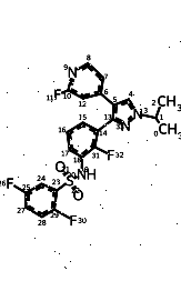 CC(C)n1cc(-c2ccnc(F)c2)c(-c2cccc(NS(=O)(=O)c3cc(F)ccc3F)c2F)n1